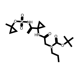 C=C(NS(=O)(=O)OC1(C)CC1)C1(NC(=O)CN(CCC)C(=O)OC(C)(C)C)CC1